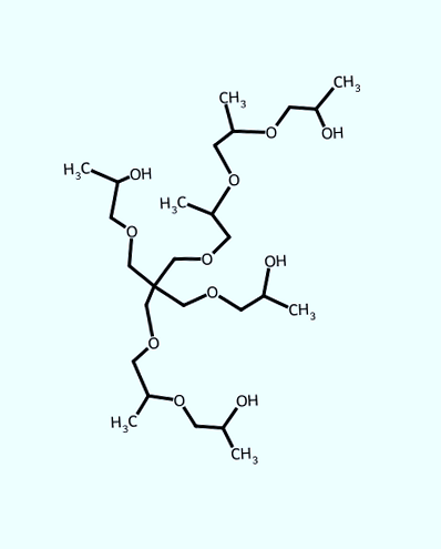 CC(O)COCC(COCC(C)O)(COCC(C)OCC(C)O)COCC(C)OCC(C)OCC(C)O